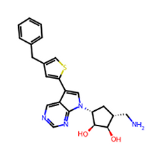 NC[C@H]1C[C@@H](n2cc(-c3cc(Cc4ccccc4)cs3)c3cncnc32)[C@H](O)[C@@H]1O